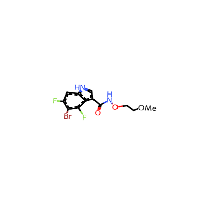 COCCONC(=O)c1c[nH]c2cc(F)c(Br)c(F)c12